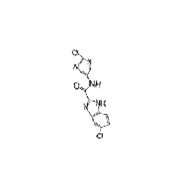 O=C(Nc1cnc(Cl)nc1)c1nc2cc(Cl)ccc2[nH]1